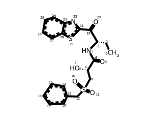 CC[C@H](NC(=O)[C@@H](O)CS(=O)(=O)Cc1ccccc1)C(=O)c1nc2ccccc2s1